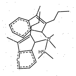 CCCC1=C(C)c2ccccc2[CH]1[Zr]([CH3])([CH3])([CH]1C(CCC)=C(C)c2ccccc21)[SiH](C)C